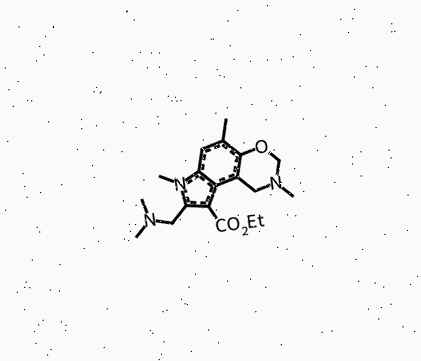 CCOC(=O)c1c(CN(C)C)n(C)c2cc(C)c3c(c12)CN(C)CO3